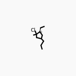 CCCC1C[C@H](CC)C(C)(Cl)C1